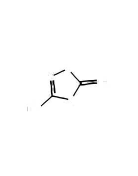 C=C1SN=C(C)S1